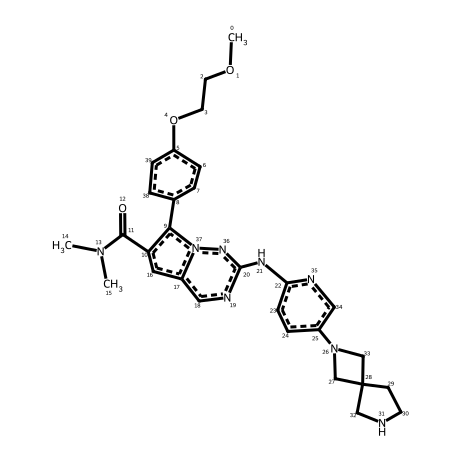 COCCOc1ccc(-c2c(C(=O)N(C)C)cc3cnc(Nc4ccc(N5CC6(CCNC6)C5)cn4)nn23)cc1